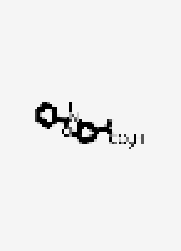 CC(C(=O)O)c1ccc2c(c1)N(F)C(c1ccccc1)O2